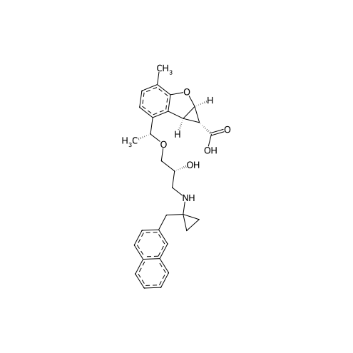 Cc1ccc([C@@H](C)OC[C@H](O)CNC2(Cc3ccc4ccccc4c3)CC2)c2c1O[C@H]1[C@H](C(=O)O)[C@@H]21